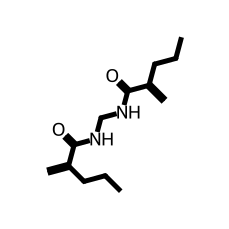 C=C(CCC)C(=O)NCNC(=O)C(=C)CCC